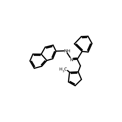 CC1=C(CC(=NNc2ccc3ccccc3c2)c2ccccc2)CC=C1